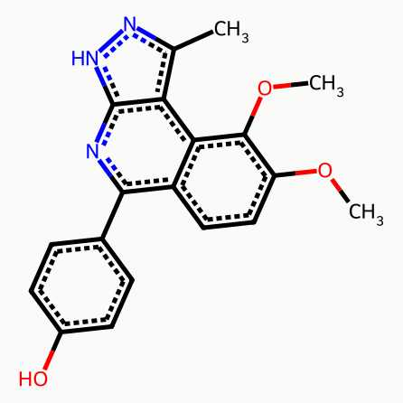 COc1ccc2c(-c3ccc(O)cc3)nc3[nH]nc(C)c3c2c1OC